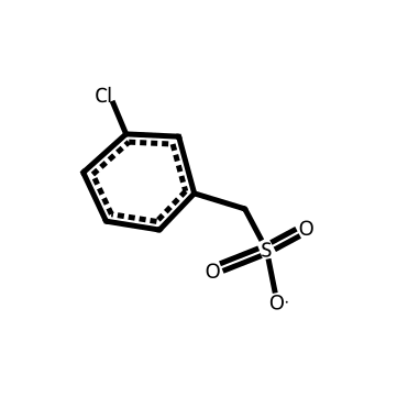 [O]S(=O)(=O)Cc1cccc(Cl)c1